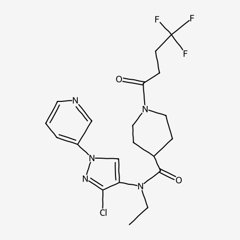 CCN(C(=O)C1CCN(C(=O)CCC(F)(F)F)CC1)c1cn(-c2cccnc2)nc1Cl